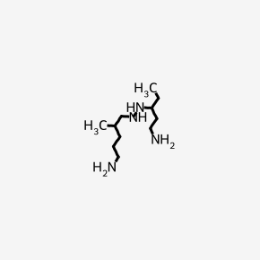 CCC(CCN)NNCC(C)CCCN